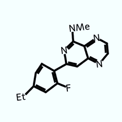 CCc1ccc(-c2cc3nccnc3c(NC)n2)c(F)c1